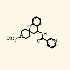 CCOC(=O)N1CCC2(CC1)CC(NC(=O)c1cccnc1)c1ccccc1O2